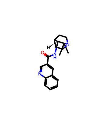 CC1(C)[C@@H](NC(=O)c2cnc3ccccc3c2)C2CCN1CC2